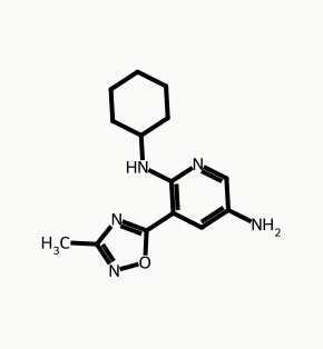 Cc1noc(-c2cc(N)cnc2NC2CCCCC2)n1